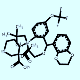 CC(=O)[C@@]1(C(=O)O)CNCC[C@H]1[N+]1(CC(C)(C)C)C(=O)COC(c2cccc3c2OCCO3)c2cc(OC(F)(F)F)ccc21